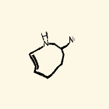 [N]C1CCC=CN1